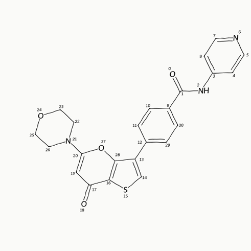 O=C(Nc1ccncc1)c1ccc(-c2csc3c(=O)cc(N4CCOCC4)oc23)cc1